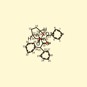 CN(Cc1ccccc1)C(=O)N1[C@H]2CC[C@@H]1[C@@H](C(=O)O)N(C(=O)C(c1ccccc1)c1ccccc1)C2